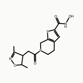 CC1=NOC(C)C1CC(=O)N1CCc2cc(C(=O)NO)sc2C1